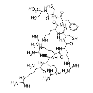 N=C(N)NCCC[C@H](NC(=O)[C@H](CS)NC(=O)[C@H](CCCNC(=N)N)NC(=O)[C@H](CCCNC(=N)N)NC(=O)[C@H](CCCNC(=N)N)NC(=O)[C@@H](N)CCCNC(=N)N)C(=O)N[C@@H](Cc1ccccc1)C(=O)N[C@@H](CS)C(=O)N[C@@H](CS)C(=O)O